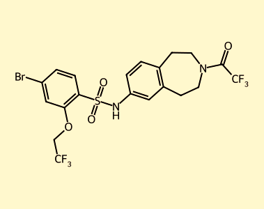 O=C(N1CCc2ccc(NS(=O)(=O)c3ccc(Br)cc3OCC(F)(F)F)cc2CC1)C(F)(F)F